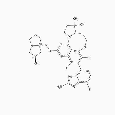 C[C@H]1CN2CCC[C@@]2(COc2nc3c4c(c(Cl)c(-c5ccc(F)c6sc(N)nc56)c(F)c4n2)OCCC2N3CCC2(C)O)C1